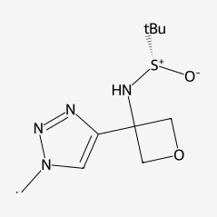 [CH2]n1cc(C2(N[S@@+]([O-])C(C)(C)C)COC2)nn1